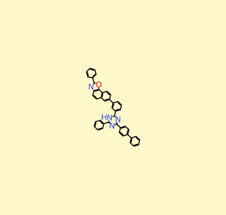 c1ccc(C2=NC(c3ccc(-c4ccccc4)cc3)=NC(c3cccc(-c4ccc5c(ccc6nc(-c7ccccc7)oc65)c4)c3)N2)cc1